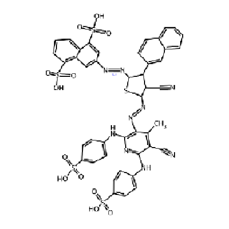 Cc1c(C#N)c(Nc2ccc(S(=O)(=O)O)cc2)nc(Nc2ccc(S(=O)(=O)O)cc2)c1N=NC1SC(/N=N/c2cc(S(=O)(=O)O)c3cccc(S(=O)(=O)O)c3c2)C(c2ccc3ccccc3c2)C1C#N